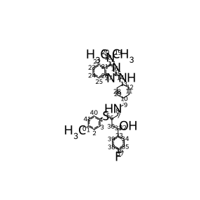 Cc1ccc(SC(CNC[C@H]2CC[C@@H](Nc3nc(N(C)C)c4ccccc4n3)CC2)CC(O)c2ccc(F)cc2)cc1